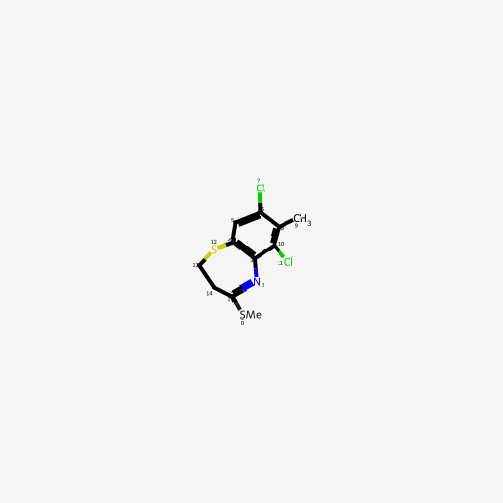 CSC1=Nc2c(cc(Cl)c(C)c2Cl)SCC1